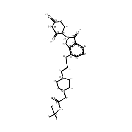 CC(C)(C)OC(=O)CN1CCN(CCCc2cccc3c2CN(C2CCC(=O)NC2=O)C3=O)CC1